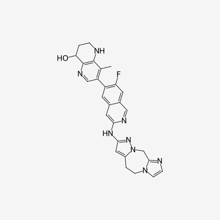 Cc1c(-c2cc3cc(Nc4cc5n(n4)Cc4nccn4CC5)ncc3cc2F)cnc2c1NCCC2O